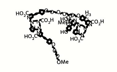 COCCOCCOCCOc1ccc(C#Cc2cc(CN3CCN(CC(=O)O)CCN(Cc4cc(C#Cc5ccc(OCCOCCOCCOCC(COCCOc6ccc(-c7cc(CN8CCN(CC(=O)O)Cc9cccc(n9)CN(Cc9cc(-c%10ccc(O)cc%10C)cc(C(=O)O)n9)CC8)nc(C(=O)O)c7)c(C)c6)OCCOC)cc5)cc(C(=O)O)n4)Cc4cccc(n4)C3)nc(C(=O)O)c2)cc1